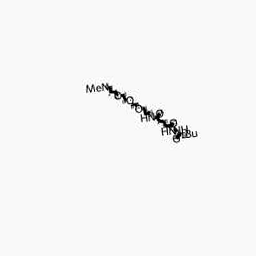 CNCCCOCCOCCOCCCNC(=O)CCCC(=O)NNC(=O)C(C)(C)C